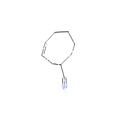 N#CC1CC=CCCCC1